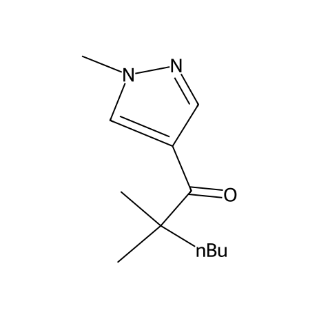 CCCCC(C)(C)C(=O)c1cnn(C)c1